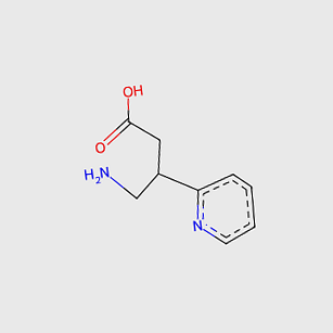 NCC(CC(=O)O)c1ccccn1